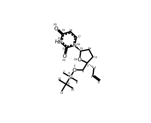 C=CC[C@@]1(CO[Si](C)(C)C(C)(C)C)CC[C@H](n2ccc(=O)[nH]c2=O)O1